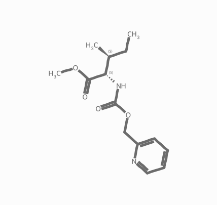 CC[C@H](C)[C@H](NC(=O)OCc1ccccn1)C(=O)OC